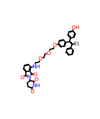 CCC(=C(c1ccc(O)cc1)c1ccc(OCCOCCOCCNc2cccc3c2C(=O)N(C2CCC(=O)NC2=O)C3=O)cc1)c1ccccc1